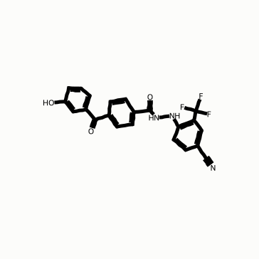 N#Cc1ccc(NNC(=O)c2ccc(C(=O)c3cccc(O)c3)cc2)c(C(F)(F)F)c1